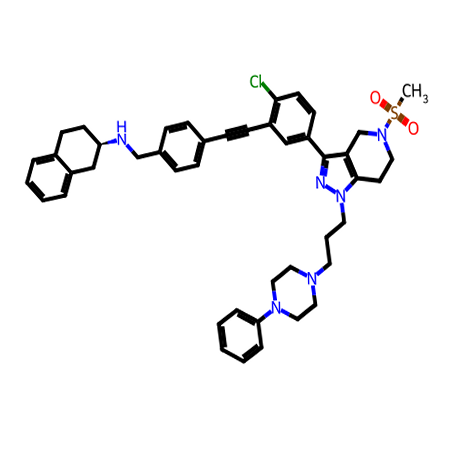 CS(=O)(=O)N1CCc2c(c(-c3ccc(Cl)c(C#Cc4ccc(CN[C@@H]5CCc6ccccc6C5)cc4)c3)nn2CCCN2CCN(c3ccccc3)CC2)C1